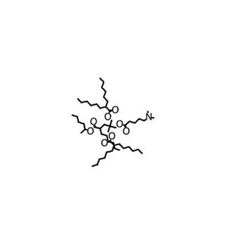 CCCCCCC(CCCCCC)C(=O)OCC(COC(=O)CCCCN(C)C)(COC(=O)C(CCCCCC)CCCCCC)CC(CCCCCC)C(=O)OC(C)CCCC